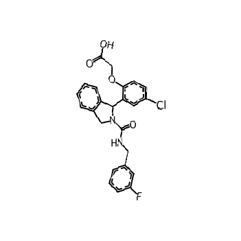 O=C(O)COc1ccc(Cl)cc1C1c2ccccc2CN1C(=O)NCc1cccc(F)c1